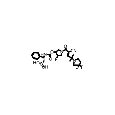 CC(C)(C=C(C#N)C(=O)N1CC(F)C(OC(=O)N[C@H](CB(O)O)c2ccccc2)C1)N1CCC(F)(F)C1